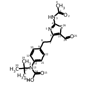 CC(=O)Nc1nc(CCc2ccc(N(C(=O)O)C(C)(C)C)cc2)c(C=O)s1